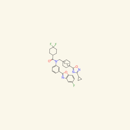 O=C(C1CCC(F)(F)CC1)N(CC12CCC(c3nc(C4CC4)no3)(CC1)CC2)c1cccc(-c2nc3cc(F)ccc3o2)c1